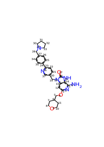 Nc1nc(OCC2CCOCC2)cc2c1[nH]c(=O)n2Cc1ccc(-c2ccc(CN3CCCC3)cc2)nc1